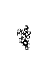 CCOC(=O)C(NC=O)C(=O)Nc1ccc(Br)cc1C